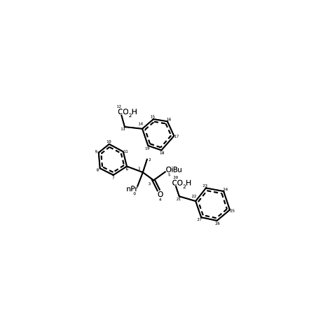 CCCC(C)(C(=O)OCC(C)C)c1ccccc1.O=C(O)Cc1ccccc1.O=C(O)Cc1ccccc1